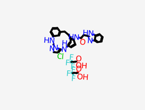 O=C(Cc1nc2ccccc2[nH]1)Nc1ccc2cc1CCc1cccc(c1)Nc1ncc(Cl)c(n1)N2.O=C(O)C(F)(F)F.O=C(O)C(F)(F)F